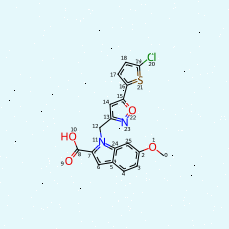 COc1ccc2cc(C(=O)O)n(Cc3cc(-c4ccc(Cl)s4)on3)c2c1